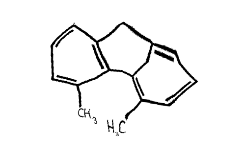 Cc1cc[c]c2c1-c1c(C)cccc1C2